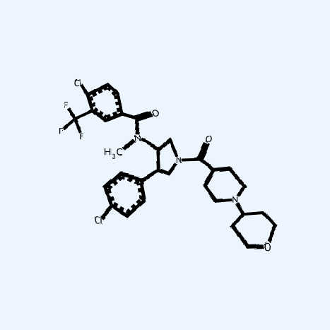 CN(C(=O)c1ccc(Cl)c(C(F)(F)F)c1)C1CN(C(=O)C2CCN(C3CCOCC3)CC2)CC1c1ccc(Cl)cc1